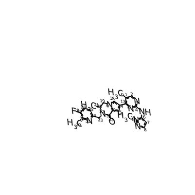 Cc1cnc(Nc2ccnn2C)nc1-c1cc2n(c1)CC(C)N(Cc1ccc(F)c(C)n1)C2=O